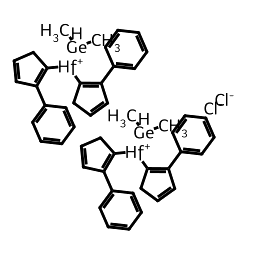 [CH3][GeH]([CH3])[Hf+]([C]1=C(c2ccccc2)C=CC1)[C]1=C(c2ccccc2)C=CC1.[CH3][GeH]([CH3])[Hf+]([C]1=C(c2ccccc2)C=CC1)[C]1=C(c2ccccc2)C=CC1.[Cl-].[Cl-]